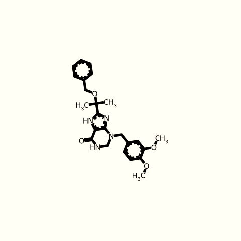 COc1ccc(CN2CNC(=O)c3[nH]c(C(C)(C)OCc4ccccc4)nc32)cc1OC